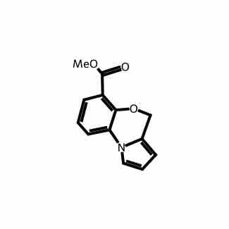 COC(=O)c1cccc2c1OCc1cccn1-2